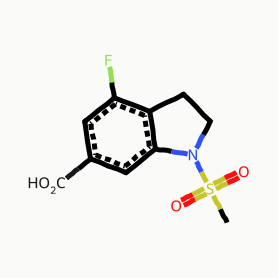 CS(=O)(=O)N1CCc2c(F)cc(C(=O)O)cc21